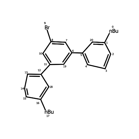 CCCCc1cccc(-c2cc(Br)cc(-c3cccc(CCCC)c3)c2)c1